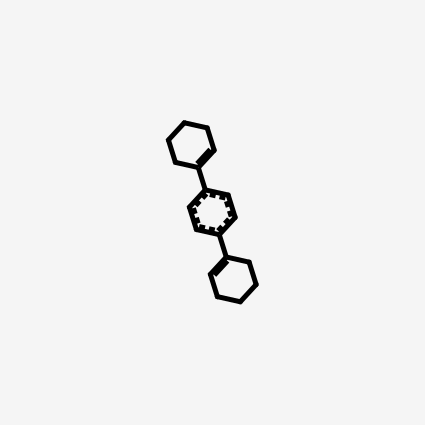 C1=C(c2ccc(C3=CCCCC3)cc2)CCCC1